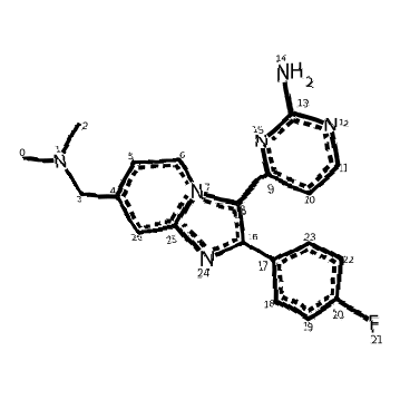 CN(C)Cc1ccn2c(-c3ccnc(N)n3)c(-c3ccc(F)cc3)nc2c1